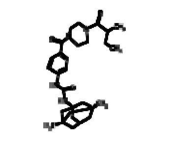 CCC(C)C(=O)N1CCN(C(=O)c2ccc(NC(=O)NC34CC5C[C@@](C)(C3)C[C@](C)(C5)C4)cc2)CC1